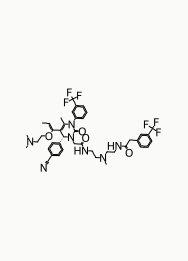 CC=C(OCCN(C)C)C1=C(C)N(c2cccc(C(F)(F)F)c2)C(=O)N(CC(=O)NCCN(C)CCNC(=O)Cc2cccc(C(F)(F)F)c2)[C@@H]1c1ccc(C#N)cc1